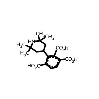 CC1(C)CC(c2c(C(=O)O)ccc(C(=O)O)c2C(=O)O)CC(C)(C)N1